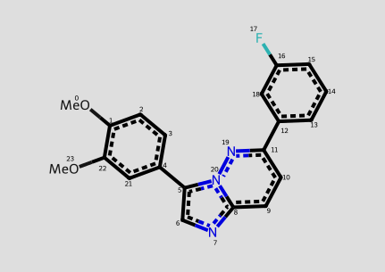 COc1ccc(-c2cnc3ccc(-c4cccc(F)c4)nn23)cc1OC